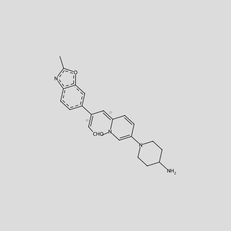 Cc1nc2ccc(C(/C=C3/C=CC(N4CCC(N)CC4)=CN3C)=C/C=O)cc2o1